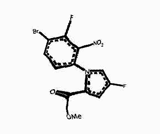 COC(=O)c1cc(F)cn1-c1ccc(Br)c(F)c1[N+](=O)[O-]